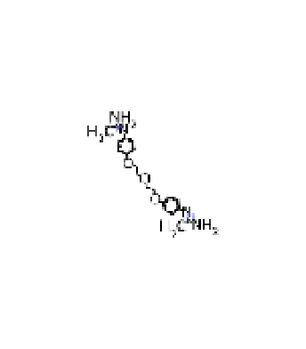 C/C(N)=N\c1ccc(OCCOCCOc2ccc(/N=C(\C)N)cc2)cc1